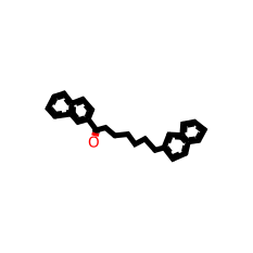 O=C(CCCCCCc1ccc2ccccc2c1)c1ccc2ccccc2c1